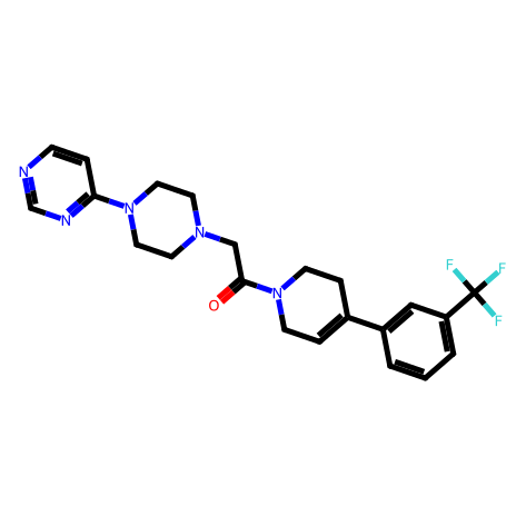 O=C(CN1CCN(c2ccncn2)CC1)N1CC=C(c2cccc(C(F)(F)F)c2)CC1